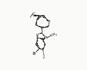 Cn1c(-c2cncc(F)c2)nc2cc(Br)c(F)cc21